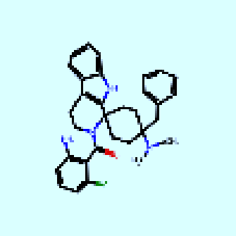 CN(C)C1(Cc2ccccc2)CCC2(CC1)c1[nH]c3ccccc3c1CCN2C(=O)c1c(N)cccc1Cl